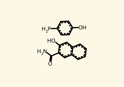 NC(=O)c1cc2ccccc2cc1O.Oc1ccc(P)cc1